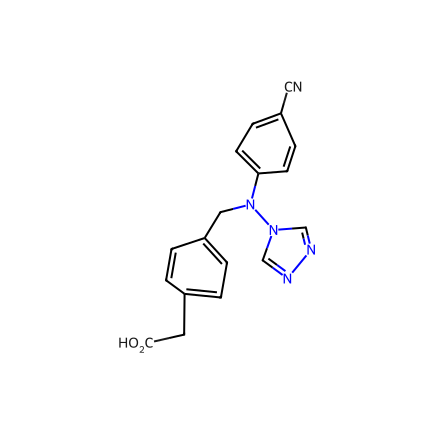 N#Cc1ccc(N(Cc2ccc(CC(=O)O)cc2)n2cnnc2)cc1